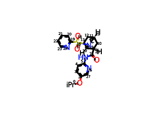 CC(C)Oc1ccc(NC(=O)[C@@H]2C[C@@H]3CC[C@H]2N(S(=O)(=O)c2ccccn2)C3)nc1